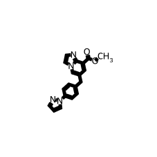 COC(=O)c1cc(Cc2ccc(-n3cccn3)cc2)cn2ccnc12